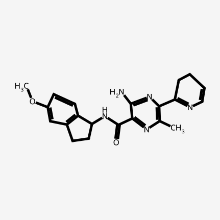 COc1ccc2c(c1)CCC2NC(=O)c1nc(C)c(C2=NC=CCC2)nc1N